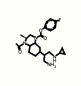 CC(=O)N1C2CCC(C(CN)CNC3CC3)CC2N(C(=O)Oc2ccc(F)cc2)C[C@@H]1C